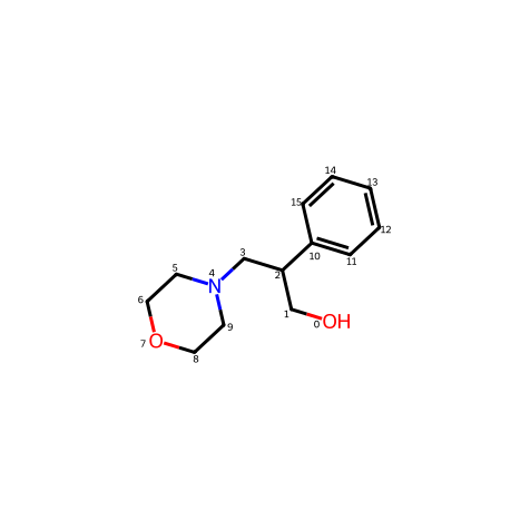 OCC(CN1CCOCC1)c1ccccc1